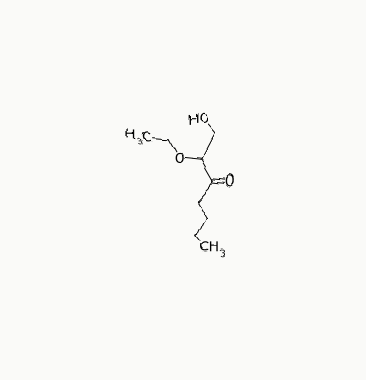 CCCCC(=O)C(CO)OCC